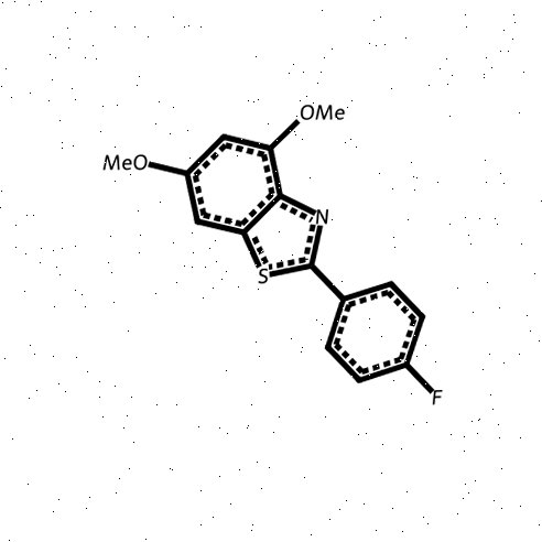 COc1cc(OC)c2nc(-c3ccc(F)cc3)sc2c1